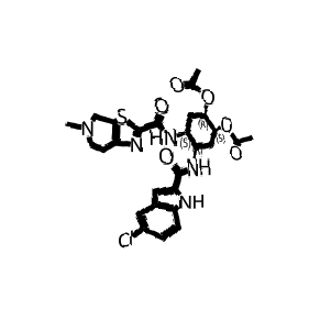 CC(=O)O[C@H]1C[C@@H](NC(=O)c2cc3cc(Cl)ccc3[nH]2)[C@@H](NC(=O)c2nc3c(s2)CN(C)CC3)C[C@H]1OC(C)=O